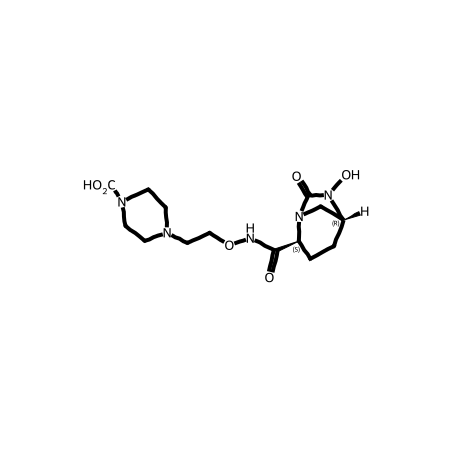 O=C(NOCCN1CCN(C(=O)O)CC1)[C@@H]1CC[C@@H]2CN1C(=O)N2O